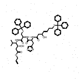 C=CCOC(=O)C[C@H](O)[C@H](NC(=O)C(CSC(c1ccccc1)(c1ccccc1)c1ccccc1)NC(=O)C(Cc1cscn1)NC(=O)CC(O)C=CCCSC(c1ccccc1)(c1ccccc1)c1ccccc1)C(C)C